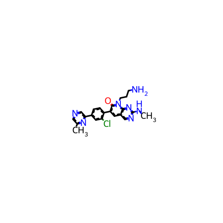 CNc1ncc2cc(-c3ccc(-c4cncc(C)n4)cc3Cl)c(=O)n(CCCN)c2n1